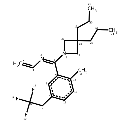 C=C/N=C(\c1cc(CC(F)(F)F)ccc1C)N1CC(CCC)(CCC)C1